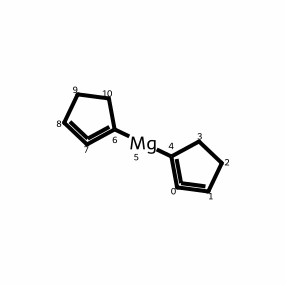 C1=CCC[C]=1[Mg][C]1=C=CCC1